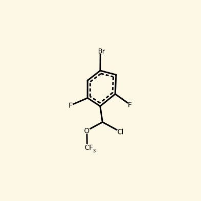 Fc1cc(Br)cc(F)c1C(Cl)OC(F)(F)F